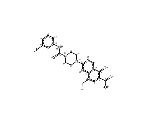 CCn1cc(C(=O)O)c(=O)c2cnc(N3CCN(C(=S)Nc4cccc(F)c4)CC3)nc21